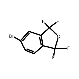 FC1(F)OC(F)(F)c2cc(Br)ccc21